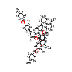 C=Cc1ccc(COc2ccc(-c3cc(C)c(OCc4ccc(C=C)cc4)c(C(c4ccc(-c5ccccc5)cc4)c4cc(-c5ccc(OCc6ccc(C=C)cc6)c(C)c5)cc(C)c4OCc4ccc(C=C)cc4)c3)cc2C)cc1